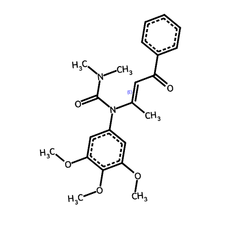 COc1cc(N(C(=O)N(C)C)/C(C)=C/C(=O)c2ccccc2)cc(OC)c1OC